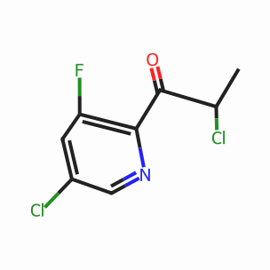 CC(Cl)C(=O)c1ncc(Cl)cc1F